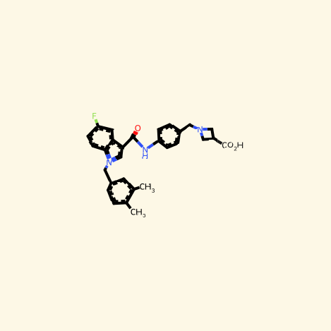 Cc1ccc(Cn2cc(C(=O)Nc3ccc(CN4CC(C(=O)O)C4)cc3)c3cc(F)ccc32)cc1C